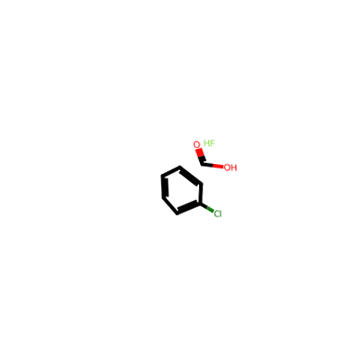 Clc1ccccc1.F.O=CO